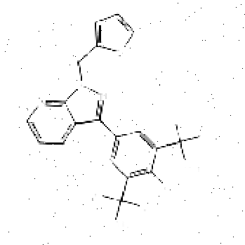 CC(C)(C)c1cc(-c2nn(Cc3cccs3)c3ncccc23)cc(C(C)(C)C)c1O